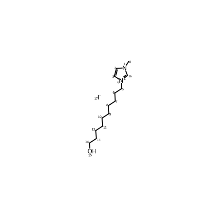 Cn1cc[n+](CCCCCCCCCCO)c1.[I-]